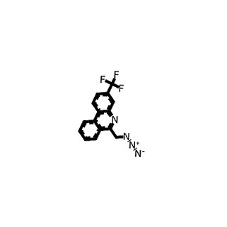 [N-]=[N+]=NCc1nc2cc(C(F)(F)F)ccc2c2ccccc12